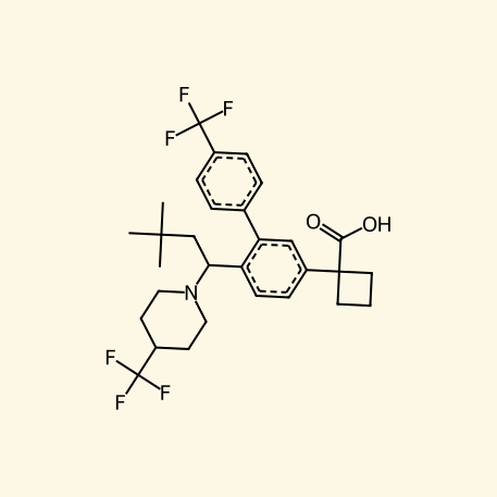 CC(C)(C)CC(c1ccc(C2(C(=O)O)CCC2)cc1-c1ccc(C(F)(F)F)cc1)N1CCC(C(F)(F)F)CC1